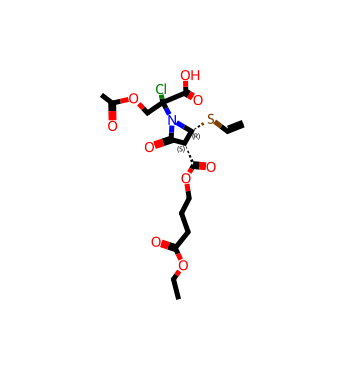 C=CS[C@@H]1[C@H](C(=O)OCCCC(=O)OCC)C(=O)N1C(Cl)(COC(C)=O)C(=O)O